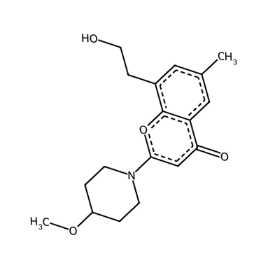 COC1CCN(c2cc(=O)c3cc(C)cc(CCO)c3o2)CC1